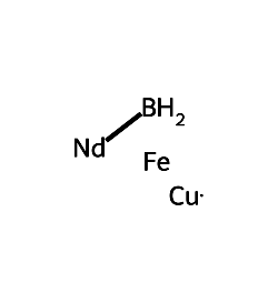 [BH2][Nd].[Cu].[Fe]